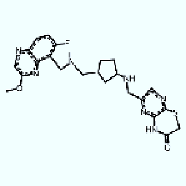 COc1cnc2ccc(F)c(CNC[C@H]3CC[C@@H](NCc4cnc5c(n4)NC(=O)CS5)C3)c2n1